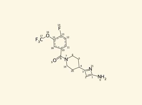 NC1=CC(C2CCN(C(=O)c3ccc(F)c(OC(F)(F)F)c3)CC2)=N1